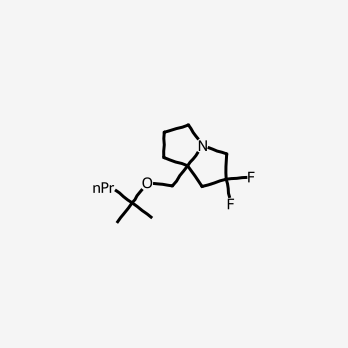 CCCC(C)(C)OCC12CCCN1CC(F)(F)C2